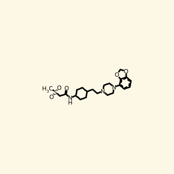 CS(=O)(=O)CC(=O)NC1CCC(CCN2CCN(c3cccc4c3OCO4)CC2)CC1